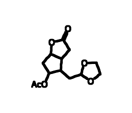 CC(=O)OC1CC2OC(=O)CC2C1CC1OCCO1